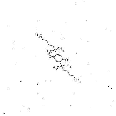 CCCCCC(C)(C)C1=CC(=O)C(C(C)(C)CCCCC)=CC1=O